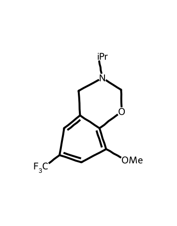 COc1cc(C(F)(F)F)cc2c1OCN(C(C)C)C2